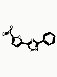 O=[N+]([O-])c1ccc(-c2nc(-c3ccccc3)no2)o1